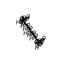 CC(=O)N[C@H]1[C@H](OCCCNC(=O)CCNC(=O)OCC(O)COC(=O)NCCC(=O)NCCCO[C@@H]2O[C@H](COC(C)=O)[C@H](OC(C)=O)[C@H](OC(C)=O)[C@H]2NC(C)=O)O[C@H](COC(C)=O)[C@H](OC(C)=O)[C@@H]1OC(C)=O